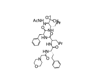 CC(=O)N/N=C(/[C@H](CC(C)C)NC(=O)[C@H](Cc1ccccc1)NC(=O)C(CC(C)C)NC(=O)[C@H](CCc1ccccc1)NC(=O)CN1CCOCC1)[C@@]1(C)CO1